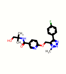 Cn1nnc(-c2ccc(F)cc2)c1COc1ccc(C(=O)NC(C)(C)CO)cn1